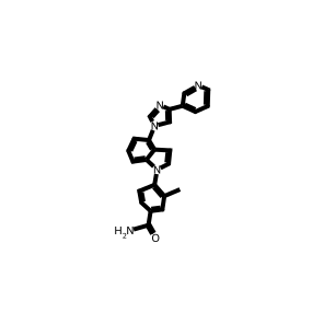 Cc1cc(C(N)=O)ccc1-n1ccc2c(-n3cnc(-c4cccnc4)c3)cccc21